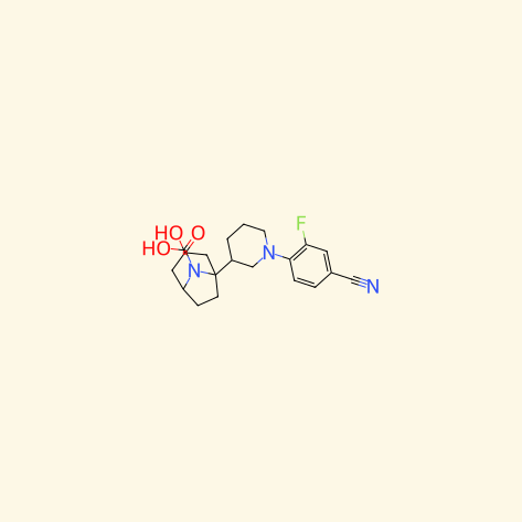 N#Cc1ccc(N2CCCC(C34CCC(CC(O)C3)N4C(=O)O)C2)c(F)c1